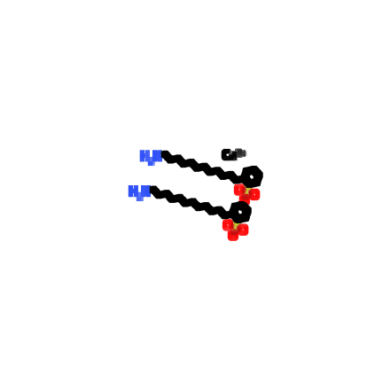 NCCCCCCCCCCCCc1ccccc1S(=O)(=O)[O-].NCCCCCCCCCCCCc1ccccc1S(=O)(=O)[O-].[Ca+2]